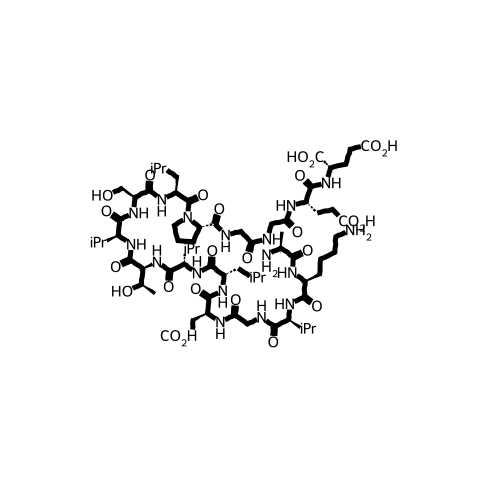 CC(C)C[C@H](NC(=O)[C@H](CC(=O)O)NC(=O)CNC(=O)[C@@H](NC(=O)[C@H](CCCCN)NC(=O)[C@H](C)N)C(C)C)C(=O)N[C@H](C(=O)N[C@H](C(=O)N[C@H](C(=O)N[C@@H](CO)C(=O)N[C@@H](CC(C)C)C(=O)N1CCC[C@H]1C(=O)NCC(=O)NCC(=O)N[C@@H](CCC(=O)O)C(=O)N[C@@H](CCC(=O)O)C(=O)O)C(C)C)[C@@H](C)O)C(C)C